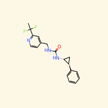 CC(F)(F)c1cc(CNC(=O)N[C@@H]2C[C@H]2c2ccccc2)ccn1